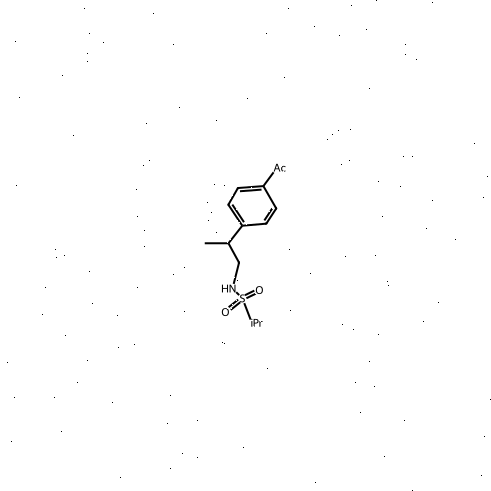 CC(=O)c1ccc(C(C)CNS(=O)(=O)C(C)C)cc1